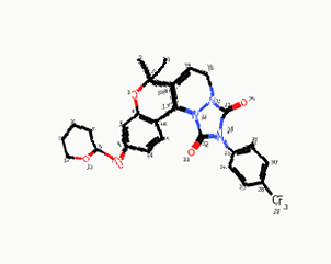 CC1(C)Oc2cc(OC3CCCCO3)ccc2C2C1=CCn1c(=O)n(-c3ccc(C(F)(F)F)cc3)c(=O)n12